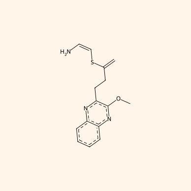 C=C(CCc1nc2ccccc2nc1OC)S/C=C\N